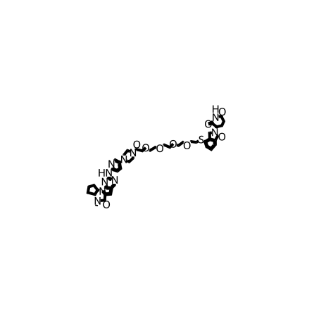 CN(C)C(=O)c1cc2cnc(Nc3ccc(N4CCN(C(=O)COCCOCCOCCOCCSc5cccc6c5CN(C5CCC(=O)NC5=O)C6=O)CC4)cn3)nc2n1C1CCCC1